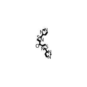 O=C(c1csc(-c2ccncn2)n1)c1csc(-c2ccncn2)n1